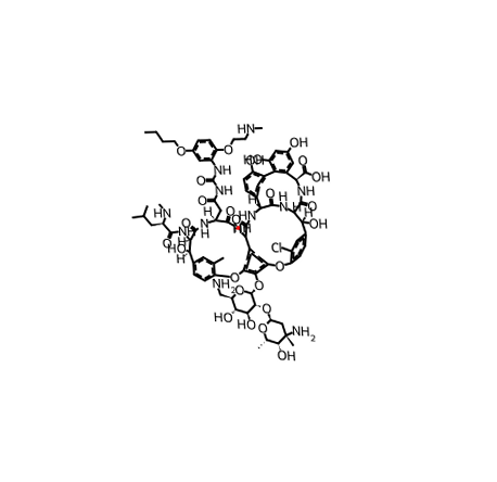 CCCCOc1ccc(OCCNC)c(NC(=O)NC(=O)C[C@@H]2NC(=O)[C@H](NC(=O)[C@@H](CC(C)C)NC)[C@H](O)c3ccc(c(C)c3)Oc3cc4cc(c3O[C@@H]3O[C@H](CN)[C@@H](O)[C@H](O)[C@H]3O[C@H]3C[C@](C)(N)[C@H](O)[C@H](C)O3)Oc3ccc(cc3Cl)[C@@H](O)[C@@H]3NC(=O)[C@H](NC(=O)[C@@H]4NC2=O)c2ccc(O)c(c2)-c2c(O)cc(O)cc2[C@@H](C(=O)O)NC3=O)c1